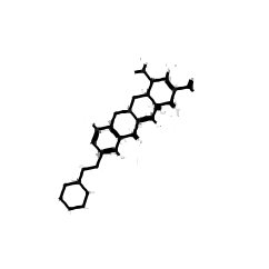 CC(=O)C1=C(O)C(C(C)C)C2CC3Cc4c(C)cc(CCC5CCCCC5)c(O)c4C(=O)C3=C(O)C2(O)C1=O